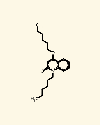 CCCCCCOc1cc(=O)n(CCCCCC)c2ccccc12